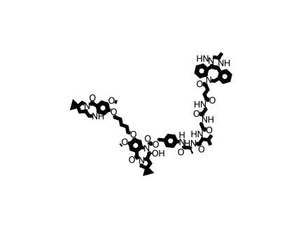 COc1cc2c(cc1OCCCCCOc1cc3c(cc1OC)C(=O)N1CC4(CC4)CC1[C@H](O)N3C(=O)OCc1ccc(NC(=O)[C@H](C)NC(=O)[C@@H](NC(=O)CNC(=O)CNC(=O)CCC(=O)N3Cc4ccccc4/C(NC(C)C)=C(/N=N)c4ccccc43)C(C)C)cc1)NCC1CC3(CC3)CN1C2=O